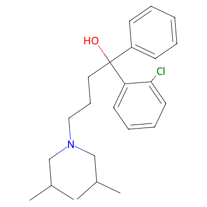 CC(C)CN(CCCC(O)(c1ccccc1)c1ccccc1Cl)CC(C)C